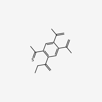 C=C(C)c1cc(C(=C)CC)c(C(C)=S)cc1C(=C)C